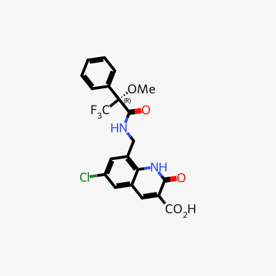 CO[C@@](C(=O)NCc1cc(Cl)cc2cc(C(=O)O)c(=O)[nH]c12)(c1ccccc1)C(F)(F)F